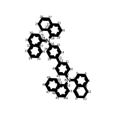 C1=Cc2c(cccc2N(c2ccc(-c3ccc(N(c4cccc5c4CCC=C5)c4cccc5ccccc45)cc3)cc2)c2cccc3ccccc23)CC1